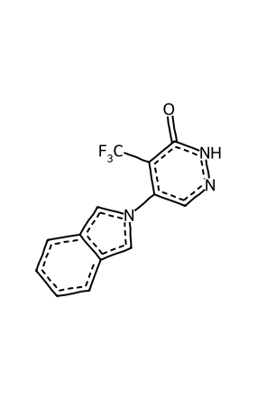 O=c1[nH]ncc(-n2cc3ccccc3c2)c1C(F)(F)F